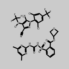 Cc1cc(C)nc(NC(=O)NS(=O)(=O)c2ccccc2C(=O)OC2COC2)n1.N#Cc1nn(-c2c(Cl)cc(C(F)(F)F)cc2Cl)c(N)c1[S+]([O-])C(F)(F)F